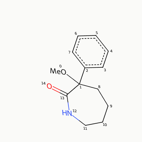 COC1(c2ccccc2)CCCCNC1=O